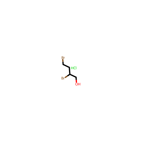 Cl.OCC(Br)CCBr